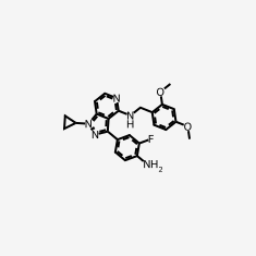 COc1ccc(CNc2nccc3c2c(-c2ccc(N)c(F)c2)nn3C2CC2)c(OC)c1